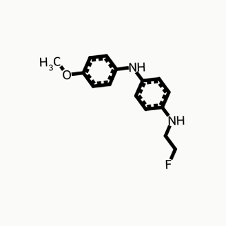 COc1ccc(Nc2ccc(NCCF)cc2)cc1